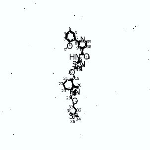 COc1ccccc1-c1cc(C(=O)Nc2nnc(OCC3CCCc4c3cnn4COCC[Si](C)(C)C)s2)ccn1